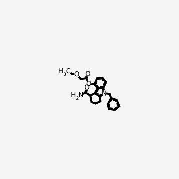 CCOCC(=O)Oc1cccc2c1c1c(n2Cc2ccccc2)CCCC1C(N)=O